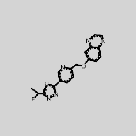 CC(F)c1nnc(-c2ccc(COc3ccc4nccnc4c3)nc2)o1